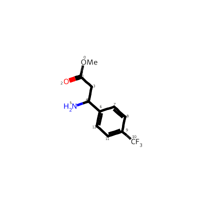 COC(=O)CC(N)c1ccc(C(F)(F)F)cc1